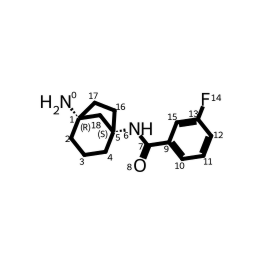 N[C@]12CCC[C@](NC(=O)c3cccc(F)c3)(CC1)C2